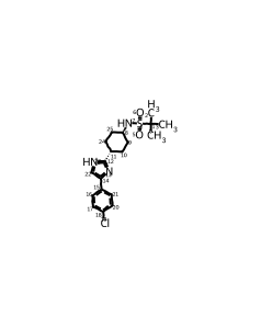 CC(C)(C)S(=O)(=O)N[C@H]1CC[C@H](c2nc(-c3ccc(Cl)cc3)c[nH]2)CC1